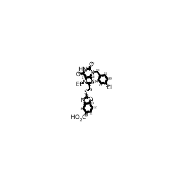 CCn1c(CSc2nc3cc(C(=O)O)ccc3o2)nc2c1c(=O)[nH]c(=O)n2Cc1ccc(Cl)cc1